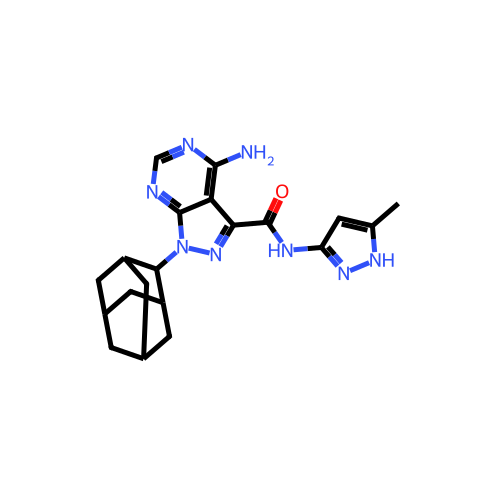 Cc1cc(NC(=O)c2nn(C3C4CC5CC(C4)CC3C5)c3ncnc(N)c23)n[nH]1